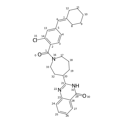 O=C(c1ccc(C=C2CCCCC2)cc1Cl)N1CCCC(c2nc3ccccc3c(=O)[nH]2)CC1